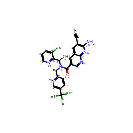 C#Cc1cc2cc(C(=O)N(Cc3ccc(C(F)(F)F)cn3)[C@H](C)c3ncccc3F)cnc2nc1N